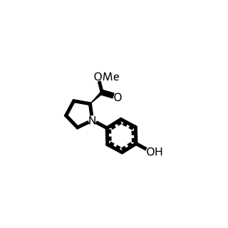 COC(=O)[C@@H]1CCCN1c1ccc(O)cc1